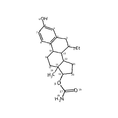 CCC1Cc2cc(O)ccc2C2CCC3(C)C(OC(N)=O)CCC3C12